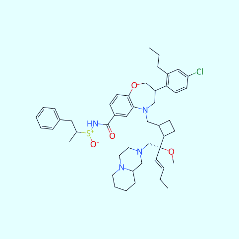 CC/C=C/[C@](CN1CCN2CCCCC2C1)(OC)C1CCC1CN1CC(c2ccc(Cl)cc2CCC)COc2ccc(C(=O)N[S+]([O-])C(C)Cc3ccccc3)cc21